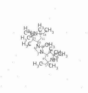 CCC1(C)CC(N2CCN(C3CC(C)(CC)NC(C)(CC)C3C)C2=O)C(C)C(C)(CC)N1